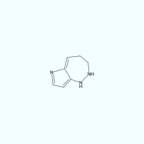 C1=NC2=CCCNNC2=C1